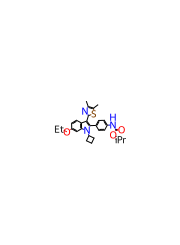 CCOc1ccc2c(-c3nc(C)c(C)s3)c(-c3ccc(NC(=O)OC(C)C)cc3)n(C3CCC3)c2c1